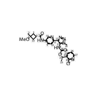 CO[C@]1(C)C[C@H](C(=O)Nc2ccc(-c3nnn(C)c3NC(=O)O[C@H](C)c3cccnc3Cl)nc2)C1